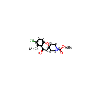 COc1c(Cl)ccc2c1C(=O)CC1(CCN(C(=O)OC(C)(C)C)CC1)O2